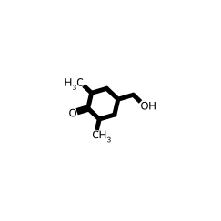 CC1CC(CO)CC(C)C1=O